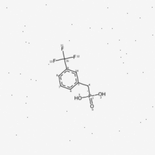 O=P(O)(O)Cc1cccc(C(F)(F)F)c1